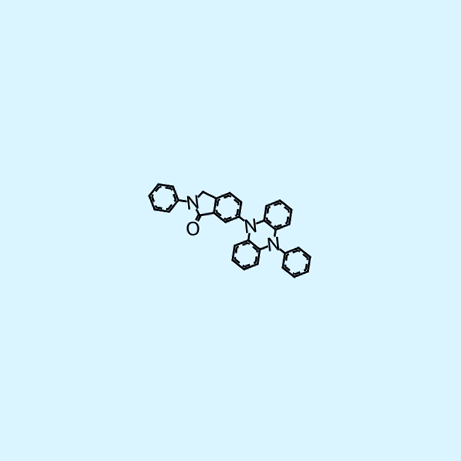 O=C1c2cc(N3c4ccccc4N(c4ccccc4)c4ccccc43)ccc2CN1c1ccccc1